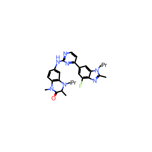 Cc1nc2c(F)cc(-c3ccnc(Nc4ccc5c(c4)N(C(C)C)C(C)C(=O)N5C)n3)cc2n1C(C)C